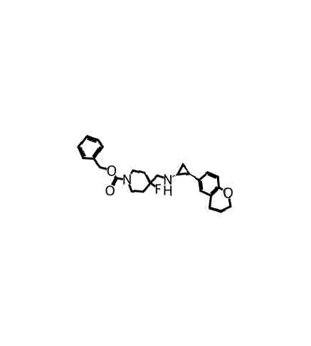 O=C(OCc1ccccc1)N1CCC(F)(CN[C@@H]2C[C@H]2c2ccc3c(c2)CCCO3)CC1